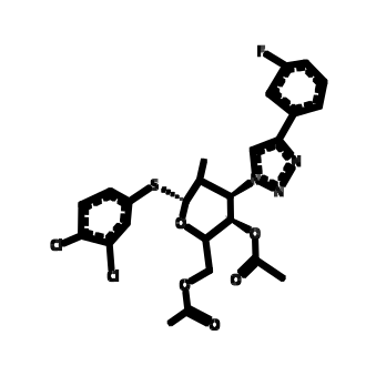 CC(=O)OCC1O[C@H](Sc2ccc(Cl)c(Cl)c2)C(C)[C@@H](n2cc(-c3cccc(F)c3)nn2)[C@H]1OC(C)=O